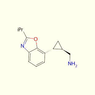 CC(C)c1nc2cccc([C@@H]3C[C@H]3CN)c2o1